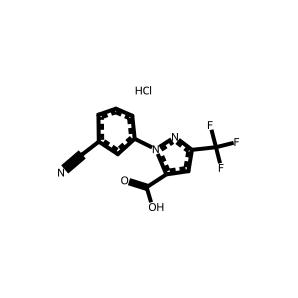 Cl.N#Cc1cccc(-n2nc(C(F)(F)F)cc2C(=O)O)c1